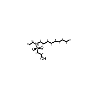 CCCCCCCCCN(CC)S(=O)(=O)CCO